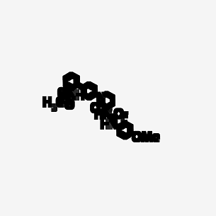 COc1ccc(NC(=O)N[C@@H]2CCCN(c3ccc(-c4ccccc4NS(C)(=O)=O)cc3)C2=O)c(F)c1